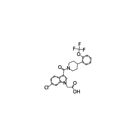 O=C(O)Cn1cc(C(=O)N2CCC(c3ccccc3OC(F)(F)F)CC2)c2ccc(Cl)cc21